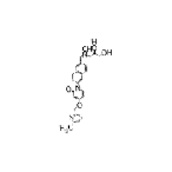 Cc1csc(COc2ccn(C3=Cc4ccc(CN(C)CC(O)CO)cc4CC3)c(=O)c2)n1